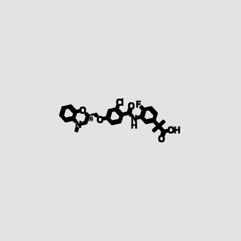 CN1C[C@@H](COc2ccc(C(=O)Nc3cc(C(C)(C)C(=O)O)ccc3F)c(Cl)c2)Oc2ccccc21